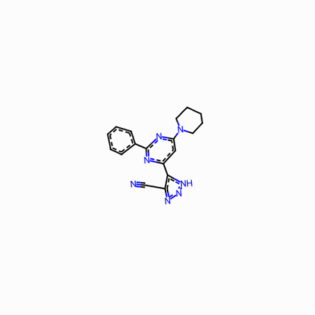 N#Cc1nn[nH]c1-c1cc(N2CCCCC2)nc(-c2ccccc2)n1